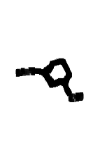 CNC1CCCC(C=O)C1